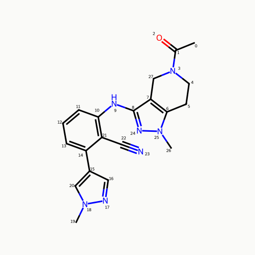 CC(=O)N1CCc2c(c(Nc3cccc(-c4cnn(C)c4)c3C#N)nn2C)C1